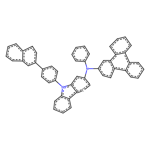 c1ccc(N(c2ccc3c4ccccc4c4ccccc4c3c2)c2ccc3c4ccccc4n(-c4ccc(-c5ccc6ccccc6c5)cc4)c3c2)cc1